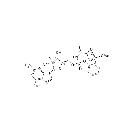 COC(=O)c1ccccc1OP(=O)(N[C@@H](C)C(=O)OC)OC[C@H]1O[C@@H](n2cnc3c(OC)nc(N)nc32)[C@](C)(C#N)[C@@H]1O